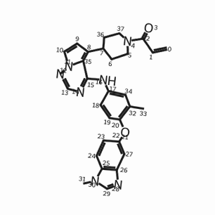 C=CC(=O)N1CCC(c2ccn3ncnc(Nc4ccc(Oc5ccc6c(c5)ncn6C)c(C)c4)c23)CC1